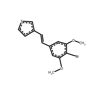 COc1cc(C=Cc2ccsc2)cc(OC)c1Br